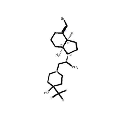 CC(CN1CCC(O)(C(F)(F)F)CC1)[C@H]1CC[C@@H]2/C(=C/Br)CCC[C@@]21C